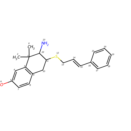 CC1(C)c2cc(O)ccc2CC(SC/C=C/c2ccccc2)C1N